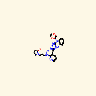 O=C1CCCN1CCCNc1ncccc1-c1nnc(N(C2=CC=CCC2)C2=COC=CO2)[nH]1